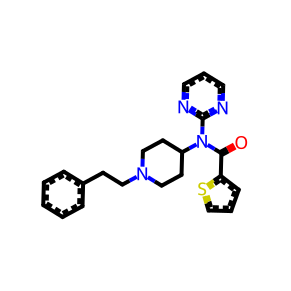 O=C(c1cccs1)N(c1ncccn1)C1CCN(CCc2ccccc2)CC1